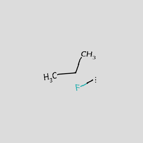 CCC.[C]F